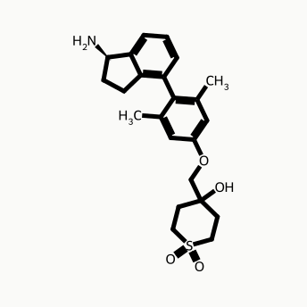 Cc1cc(OCC2(O)CCS(=O)(=O)CC2)cc(C)c1-c1cccc2c1CC[C@H]2N